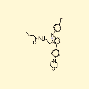 CCCC(=O)NCCCn1c(-c2ccc(N3CCOCC3)cc2)cs/c1=N\c1ccc(F)cc1